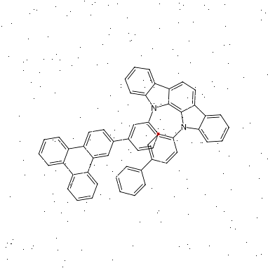 c1ccc(-c2ccc(-n3c4ccccc4c4ccc5c6ccccc6n(-c6cccc(-c7ccc8c9ccccc9c9ccccc9c8c7)c6)c5c43)cc2)cc1